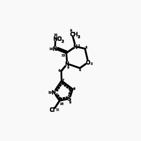 CN1COCN(Cc2csc(Cl)n2)C1=N[N+](=O)[O-]